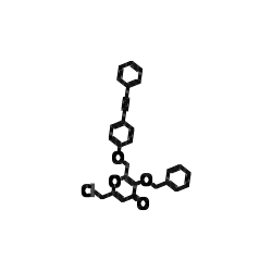 O=c1cc(CCl)oc(COc2ccc(C#Cc3ccccc3)cc2)c1OCc1ccccc1